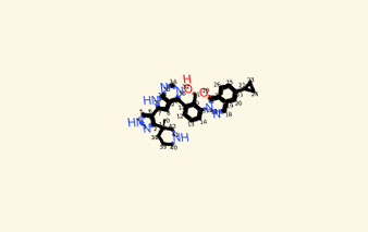 C[C@]1(c2n[nH]cc2-c2cc3c(-c4cccc(-n5ncc6cc(C7CC7)ccc6c5=O)c4CO)ncnc3[nH]2)CCCNC1